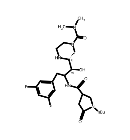 CCCCN1CC(C(=O)NC(Cc2cc(F)cc(F)c2)[C@H](O)[C@H]2CN(C(=O)N(C)C)CCN2)CC1=O